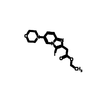 CCOC(=O)Cc1nc2ccc(N3CCOCC3)cn2c1I